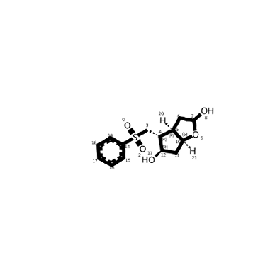 O=S(=O)(C[C@@H]1[C@H]2CC(O)O[C@H]2C[C@H]1O)c1ccccc1